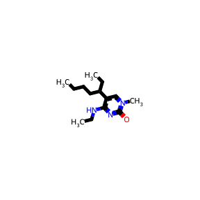 CCCCC(CC)c1cn(C)c(=O)nc1NCC